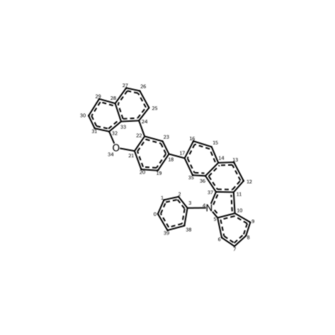 c1ccc(-n2c3ccccc3c3ccc4ccc(-c5ccc6c(c5)-c5cccc7cccc(c57)O6)cc4c32)cc1